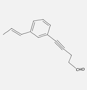 CC=Cc1cccc(C#CCCC=O)c1